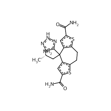 C[C@H](N)CC1(c2nn[nH]n2)c2cc(C(N)=O)sc2CCc2sc(C(N)=O)cc21